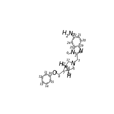 Cn1c(CN2C[C@@H]3C(COc4ccccc4)[C@@H]3C2)nc2ccc(N)cc21